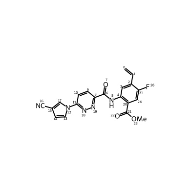 C=Cc1cc(NC(=O)c2ccc(-n3ccc(C#N)c3)nn2)c(C(=O)OC)cc1F